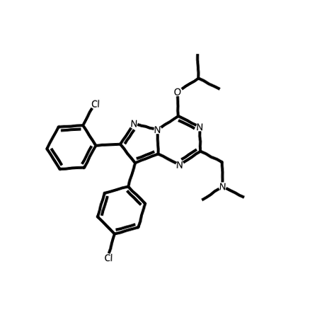 CC(C)Oc1nc(CN(C)C)nc2c(-c3ccc(Cl)cc3)c(-c3ccccc3Cl)nn12